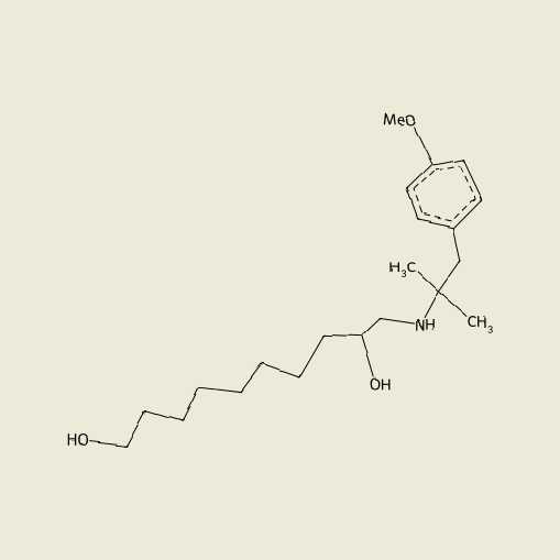 COc1ccc(CC(C)(C)NCC(O)CCCCCCCCO)cc1